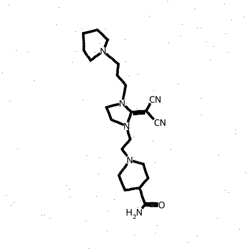 N#CC(C#N)=C1N(CCCN2CCCCC2)CCN1CCN1CCC(C(N)=O)CC1